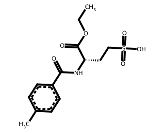 CCOC(=O)[C@H](CCS(=O)(=O)O)NC(=O)c1ccc(C)cc1